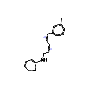 Cc1cccc(/C=C\C=C/CNC2=CC=CCC2)c1